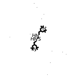 CN1C(C)(C)CC(CCNC(=S)NCCC2CC(C)(C)N(C)C(C)(C)C2)CC1(C)C